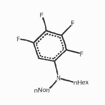 CCCCCCCCCN(CCCCCC)c1cc(F)c(F)c(F)c1F